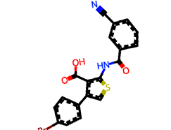 N#Cc1cccc(C(=O)Nc2scc(-c3ccc(Br)cc3)c2C(=O)O)c1